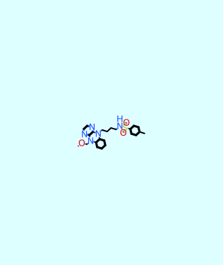 COCN1c2ccccc2N(CCCCNS(=O)(=O)c2ccc(C)cc2)c2nccnc21